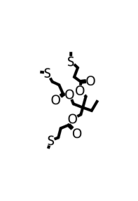 CCC(COC(=O)CCSC)(COC(=O)CCSC)COC(=O)CCSC